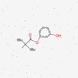 CC(C)(C)C(C)(C(=O)Oc1cccc(O)c1)C(C)(C)C